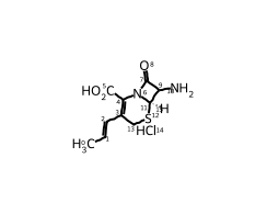 C/C=C/C1=C(C(=O)O)N2C(=O)C(N)[C@H]2SC1.Cl